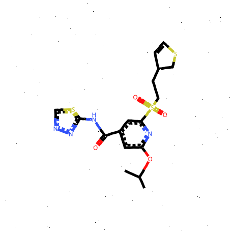 CC(C)Oc1cc(C(=O)Nc2nncs2)cc(S(=O)(=O)CCC2C=CSC2)n1